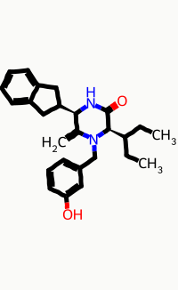 C=C1[C@@H](C2Cc3ccccc3C2)NC(=O)[C@@H](C(CC)CC)N1Cc1cccc(O)c1